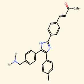 CCN(CC)Cc1ccc(-c2[nH]c(-c3ccc(/C=C/C(=O)OC)cc3)nc2-c2ccc(C)cc2)cc1